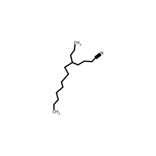 CCCCCCCCC(CCC)CCCC#N